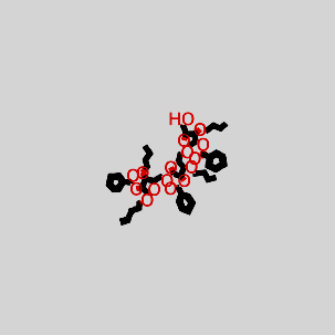 C=CCCCOC1OC(COC2OC(COC3OC(CO)C(OCCCC)C3OC(=O)c3ccccc3)C(OCCCC)C2OC(=O)c2ccccc2)C(OCCCC)C1OC(=O)c1ccccc1